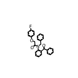 O=C(c1ccccc1)c1ccccc1N(Cc1ccccc1)C(=O)COc1ccc(F)cc1